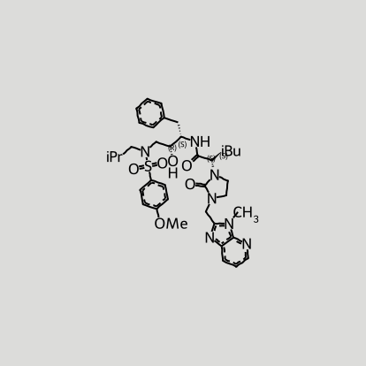 CC[C@H](C)[C@@H](C(=O)N[C@@H](Cc1ccccc1)[C@H](O)CN(CC(C)C)S(=O)(=O)c1ccc(OC)cc1)N1CCN(Cc2nc3cccnc3n2C)C1=O